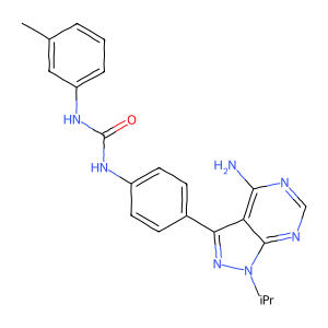 Cc1cccc(NC(=O)Nc2ccc(-c3nn(C(C)C)c4ncnc(N)c34)cc2)c1